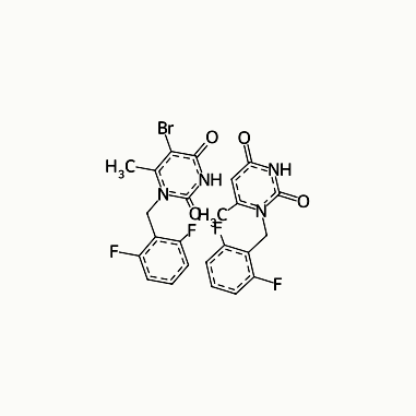 Cc1c(Br)c(=O)[nH]c(=O)n1Cc1c(F)cccc1F.Cc1cc(=O)[nH]c(=O)n1Cc1c(F)cccc1F